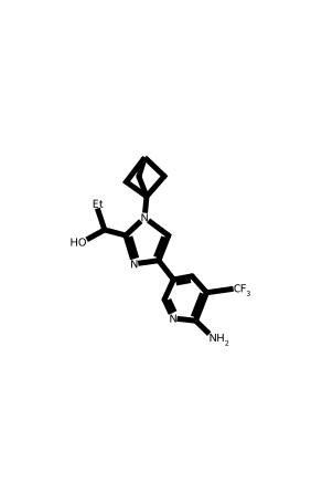 CCC(O)c1nc(-c2cnc(N)c(C(F)(F)F)c2)cn1C12CC(C1)C2